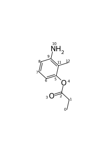 CCC(=O)Oc1cccc(N)c1C